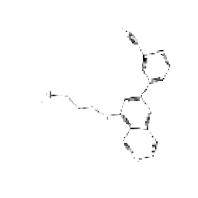 N#Cc1cccc(-c2cc(NCCCN)c3cnccc3c2)c1